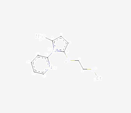 CCSCCSc1ccc(C)n1-c1ccccn1